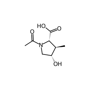 CC(=O)N1C[C@@H](O)[C@H](C)[C@H]1C(=O)O